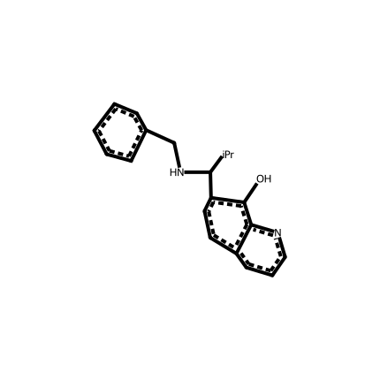 CC(C)C(NCc1ccccc1)c1ccc2cccnc2c1O